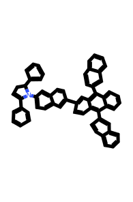 C1=C(c2ccccc2)N(c2ccc3cc(-c4ccc5c(-c6ccc7ccccc7c6)c6ccccc6c(-c6ccc7ccccc7c6)c5c4)ccc3c2)C(c2ccccc2)C1